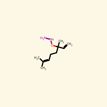 C=CC(C)(CCC=C(C)C)OPP